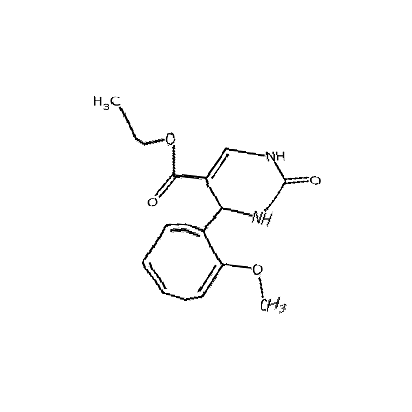 CCOC(=O)C1=CNC(=O)NC1c1ccccc1OC